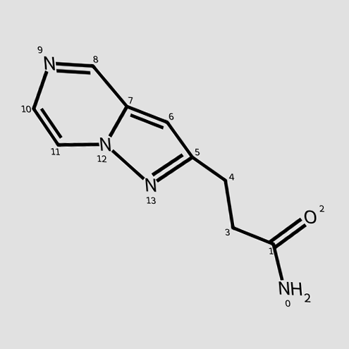 NC(=O)CCc1cc2cnccn2n1